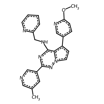 COc1ccc(-c2ccn3nc(-c4cncc(C)c4)nc(NCc4ccccn4)c23)cn1